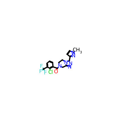 Cn1ccc(-c2nnc3n2CCN(C(=O)c2cccc(C(F)(F)F)c2Cl)C3)n1